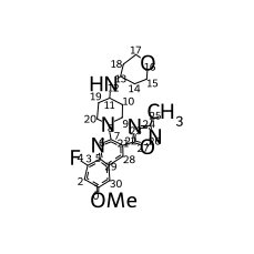 COc1cc(F)c2nc(N3CCC(NC4CCOCC4)CC3)c(-c3nc(C)no3)cc2c1